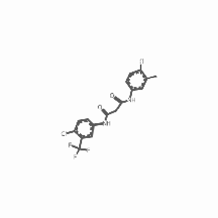 Cc1cc(NC(=O)CC(=O)Nc2ccc(Cl)c(C(F)(F)F)c2)ccc1Cl